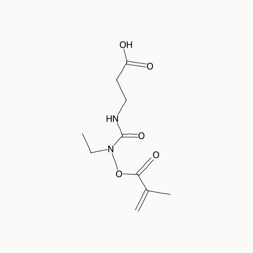 C=C(C)C(=O)ON(CC)C(=O)NCCC(=O)O